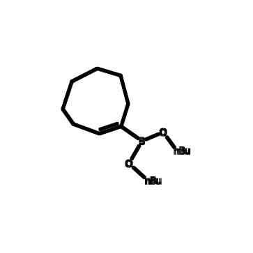 CCCCOB(OCCCC)C1=CCCCCCC1